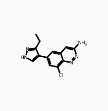 CCc1n[nH]cc1-c1cc(Cl)c2nnc(N)cc2c1